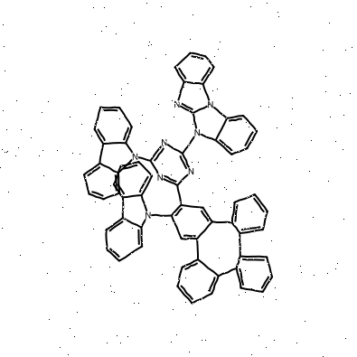 c1ccc2c(c1)-c1ccccc1-c1cc(-c3nc(-n4c5ccccc5c5ccccc54)nc(-n4c5ccccc5n5c6ccccc6nc45)n3)c(-n3c4ccccc4c4ccccc43)cc1-c1ccccc1-2